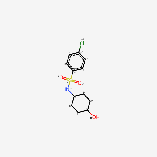 O=S(=O)(NC1CCC(O)CC1)c1ccc(Cl)cc1